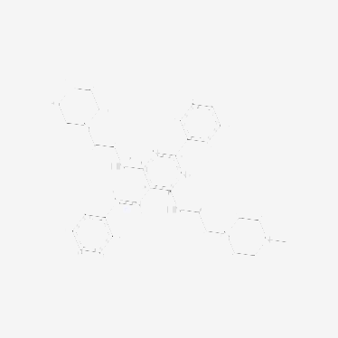 CN1CCN(CCNc2nc(-c3ccccc3)nc(NCCN3CCOCC3)c2/N=N/c2ccccc2)CC1